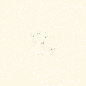 Cn1nnc2ccccc21.[Na]